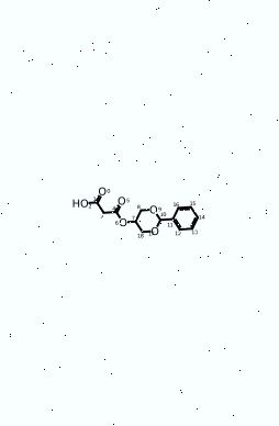 O=C(O)CC(=O)OC1COC(c2ccccc2)OC1